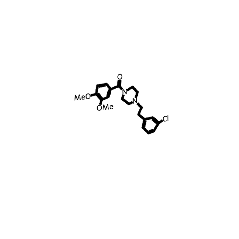 COc1ccc(C(=O)N2CCN(CCc3cccc(Cl)c3)CC2)cc1OC